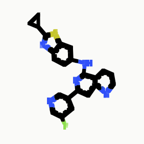 Fc1cncc(-c2cc3ncccc3c(Nc3ccc4nc(C5CC5)sc4c3)n2)c1